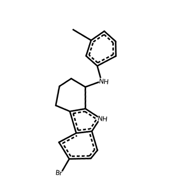 Cc1cccc(NC2CCCc3c2[nH]c2ccc(Br)cc32)c1